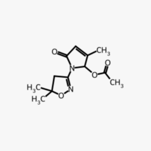 CC(=O)OC1C(C)=CC(=O)N1C1=NOC(C)(C)C1